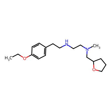 CCOc1ccc(CCNCCN(C)CC2CCCO2)cc1